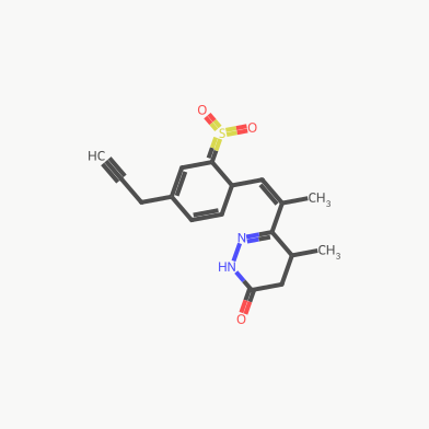 C#CCC1=CC(=S(=O)=O)C(C=C(C)C2=NNC(=O)CC2C)C=C1